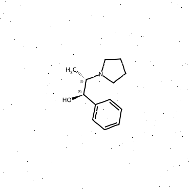 C[C@@H]([C@H](O)c1ccccc1)N1CCCC1